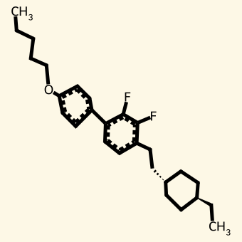 CCCCCOc1ccc(-c2ccc(CC[C@H]3CC[C@H](CC)CC3)c(F)c2F)cc1